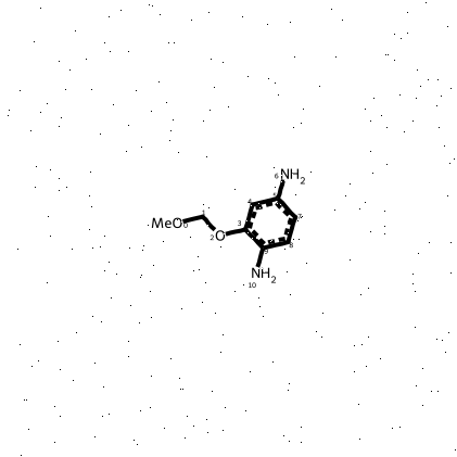 COCOc1cc(N)ccc1N